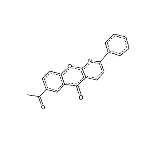 CC(=O)c1ccc2oc3nc(-c4ccccc4)ccc3c(=O)c2c1